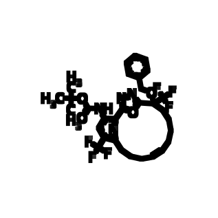 CC(C)(C)OC(=O)Nc1cc(C(F)(F)F)c2nc1-c1nnc(o1)C(OCc1ccccc1)(C(F)(F)F)CCCC/C=C\CCC2